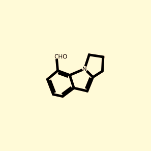 O=Cc1cccc2cc3n(c12)CCC3